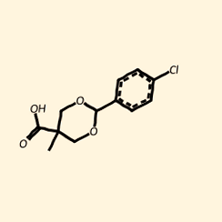 CC1(C(=O)O)COC(c2ccc(Cl)cc2)OC1